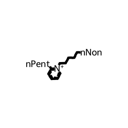 CCCCCCCCCCCCCC[n+]1ccccc1CCCCC